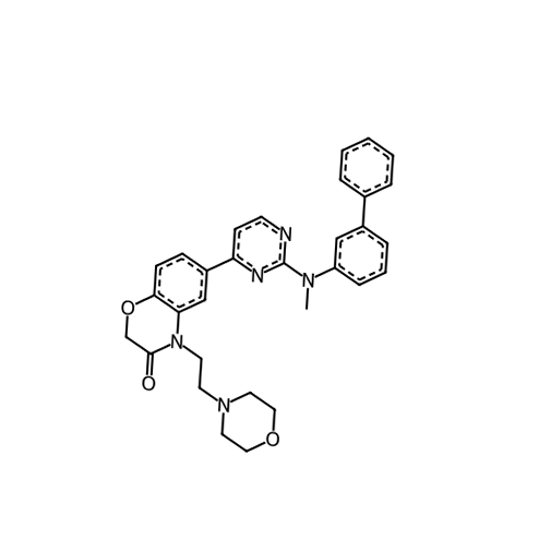 CN(c1cccc(-c2ccccc2)c1)c1nccc(-c2ccc3c(c2)N(CCN2CCOCC2)C(=O)CO3)n1